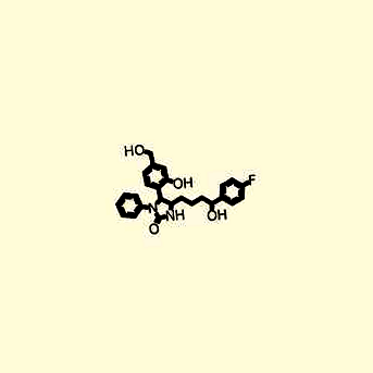 O=C1NC(CCCC(O)c2ccc(F)cc2)C(c2ccc(CO)cc2O)N1c1ccccc1